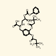 CC(CN[C@@H](Cc1ccc(OC(=O)CC(C)(C)C)c(OC(=O)CC(C)(C)C)c1)C(=O)O)OC(=O)Oc1ccccc1